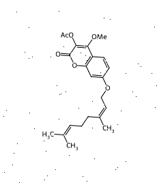 COc1c(OC(C)=O)c(=O)oc2cc(OCC=C(C)CCC=C(C)C)ccc12